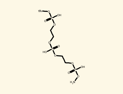 CC(C)(C)OP(=O)(O)OCCOP(=O)(O)OCCOP(=O)(O)ON